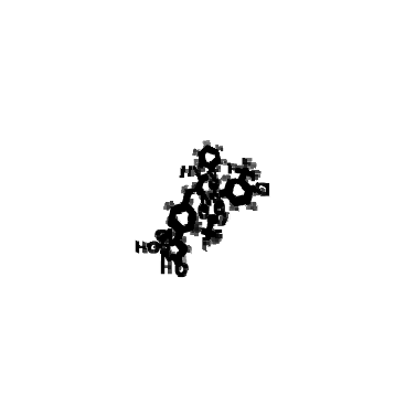 O=C1CC(c2ccc(C[C@@H](c3nc4ccccc4[nH]3)N(OC(=O)C(F)(F)F)S(=O)(=O)c3ccc(Cl)c(C(F)(F)F)c3)cc2)S(O)(O)N1